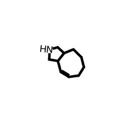 C1=C\C2CNCC2CCCC/1